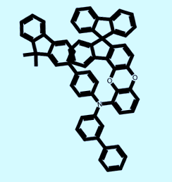 CC1(C)c2ccccc2-c2ccc(-c3ccc(N(c4cccc(-c5ccccc5)c4)c4cccc5c4Oc4c(ccc6c4-c4ccccc4C64c6ccccc6-c6ccccc64)O5)cc3)cc21